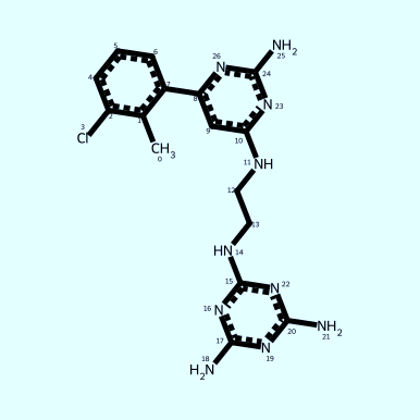 Cc1c(Cl)cccc1-c1cc(NCCNc2nc(N)nc(N)n2)nc(N)n1